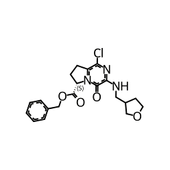 O=C(OCc1ccccc1)[C@@H]1CCc2c(Cl)nc(NCC3CCOC3)c(=O)n21